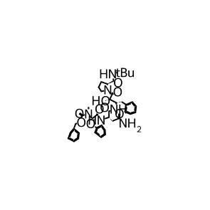 CN(C(=O)OCc1ccccc1)C(Oc1ccccc1)C(=O)N[C@@H](CC(N)=O)C(=O)N[C@@H](Cc1ccccc1)[C@H](O)C(=O)N1CCC[C@H]1C(=O)NC(C)(C)C